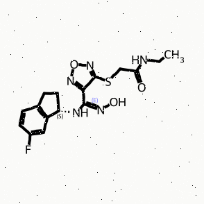 CCNC(=O)CSc1nonc1/C(=N\O)N[C@H]1CCc2ccc(F)cc21